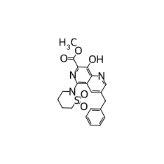 COC(=O)c1nc(N2CCCCS2(=O)=O)c2cc(Cc3ccccc3)cnc2c1O